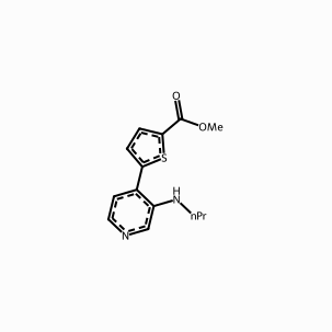 CCCNc1cnccc1-c1ccc(C(=O)OC)s1